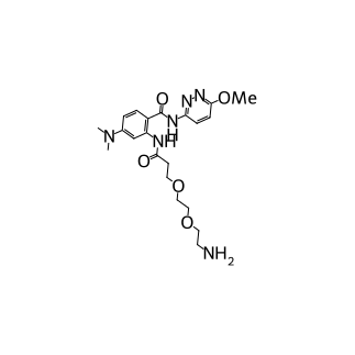 COc1ccc(NC(=O)c2ccc(N(C)C)cc2NC(=O)CCOCCOCCN)nn1